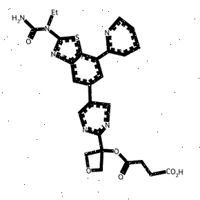 CCN(C(N)=O)c1nc2cc(-c3cnc(C4(OC(=O)CCC(=O)O)COC4)nc3)cc(-c3ccccn3)c2s1